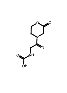 O=C(O)NCC(=O)N1CCOC(=O)C1